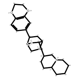 c1cc2c(cc1C1CC3NCN1CC3C1CCC3CCCCN3C1)OCCO2